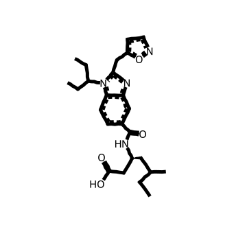 CCC(C)C[C@@H](CC(=O)O)NC(=O)c1ccc2c(c1)nc(Cc1ccno1)n2C(CC)CC